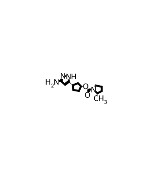 C[C@H]1CCCN1C(=O)O[C@@H]1CC[C@H](c2cc(N)n[nH]2)C1